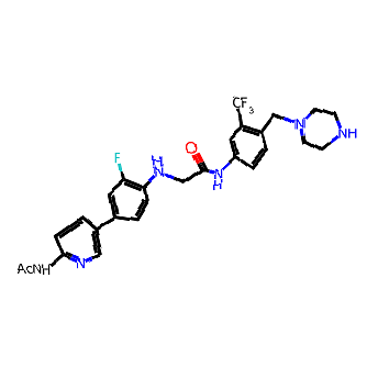 CC(=O)Nc1ccc(-c2ccc(NCC(=O)Nc3ccc(CN4CCNCC4)c(C(F)(F)F)c3)c(F)c2)cn1